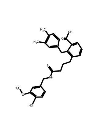 COc1cc(CNC(=S)CCCc2cccc(C(=O)O)c2Cc2ccc(C)c(C)c2)ccc1O